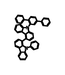 c1ccc(-c2ccc(-c3ccccc3)c(-n3c4ccccc4c4c(-c5cccc6c7ccccc7n(-c7ccccc7)c56)cccc43)c2)cc1